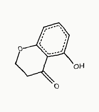 O=C1CCOc2cccc(O)c21